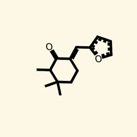 CC1C(=O)C(=Cc2ccco2)CCC1(C)C